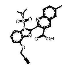 C#CCOc1cccc2c1nc(-c1nc3ccc(C)cc3cc1C(=O)O)n2S(=O)(=O)N(C)C